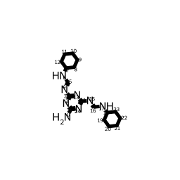 Nc1nc(N=CNC2CCCCC2)nc(N=CNC2CCCCC2)n1